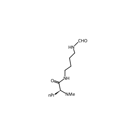 CCC[C@H](NC)C(=O)NCCCCNC=O